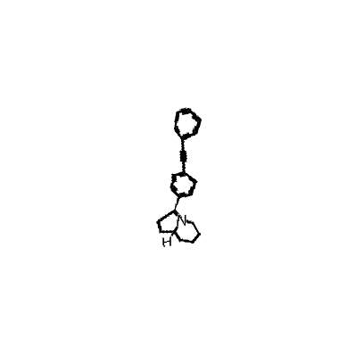 C(#Cc1ccc([C@@H]2CC[C@H]3CCCCN32)cc1)c1ccccc1